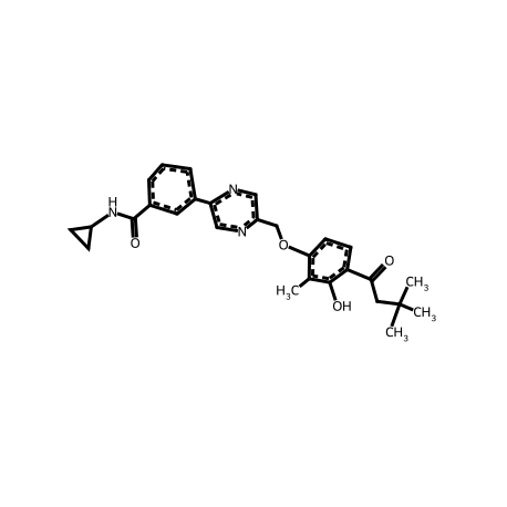 Cc1c(OCc2cnc(-c3cccc(C(=O)NC4CC4)c3)cn2)ccc(C(=O)CC(C)(C)C)c1O